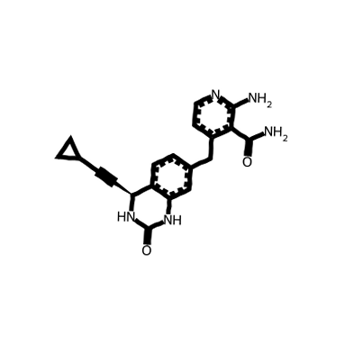 NC(=O)c1c(Cc2ccc3c(c2)NC(=O)N[C@H]3C#CC2CC2)ccnc1N